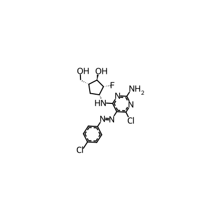 Nc1nc(Cl)c(N=Nc2ccc(Cl)cc2)c(N[C@@H]2C[C@H](CO)[C@@H](O)[C@@H]2F)n1